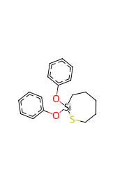 c1ccc(O[Si]2(Oc3ccccc3)CCCCCS2)cc1